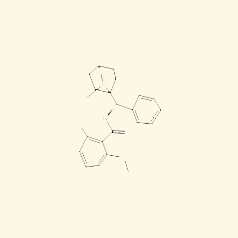 COc1cccc(Cl)c1C(=O)N[C@H](c1ccccc1)C12CCC(CC1)CN2C